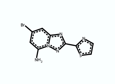 Nc1cc(Br)cc2nc(-c3nccs3)nn12